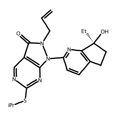 C=CCn1c(=O)c2cnc(SC(C)C)nc2n1-c1ccc2c(n1)[C@](O)(CC)CC2